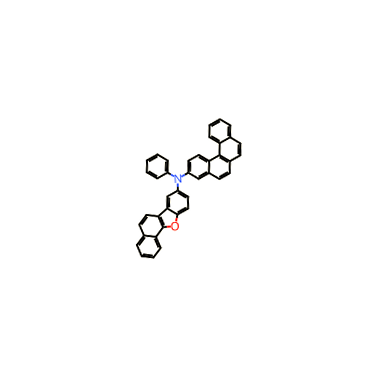 c1ccc(N(c2ccc3c(ccc4ccc5ccccc5c43)c2)c2ccc3oc4c5ccccc5ccc4c3c2)cc1